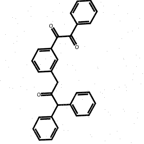 O=C(C(=O)c1cccc(CC(=O)C(c2ccccc2)c2ccccc2)c1)c1ccccc1